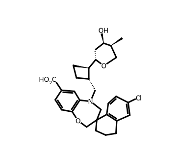 C[C@H]1CO[C@H]([C@@H]2CC[C@H]2CN2CC3(CCCc4cc(Cl)ccc43)COc3ccc(C(=O)O)cc32)C[C@H]1O